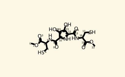 COC(=O)C(CS)NC(=O)c1[nH]c(C(=O)NC(CS)C(=O)OC)c(O)c1O